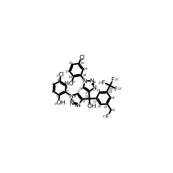 Oc1ccc(Cl)cc1-n1cc(C(O)(c2cc(CF)cc(C(F)(F)F)c2)c2cn(-c3cc(Cl)ccc3O)nn2)nn1